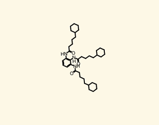 O=C(CCCCC1CCCCC1)Nc1cccc(NC(=O)CCCCC2CCCCC2)c1NC(=O)CCCCC1CCCCC1